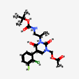 CC(=O)OCn1cc(-c2cccc(F)c2Cl)c(=O)n(C(C)CNC(=O)OC(C)(C)C)c1=O